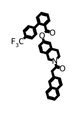 O=C(Oc1ccc2c(c1)CCN(C(=O)Cc1ccc3ccccc3c1)C2)c1ccccc1-c1ccc(C(F)(F)F)cc1